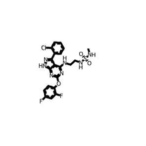 CNS(=O)(=O)NCCNc1nc(Oc2ccc(F)cc2F)nc2[nH]nc(-c3ccccc3Cl)c12